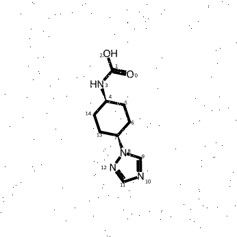 O=C(O)N[C@H]1CC[C@@H](n2cncn2)CC1